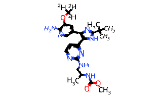 [2H]C([2H])([2H])Oc1cc(-c2nc(C(C)(C)C)[nH]c2-c2ccnc(NCC(C)NC(=O)OC)n2)cnc1N